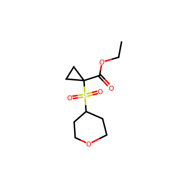 CCOC(=O)C1(S(=O)(=O)C2CCOCC2)CC1